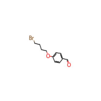 O=Cc1ccc(OCCCCBr)cc1